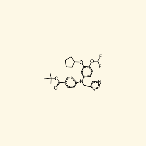 CC(C)(C)OC(=O)c1ccc(N(Cc2cncs2)c2ccc(OC(F)F)c(OC3CCCC3)c2)cc1